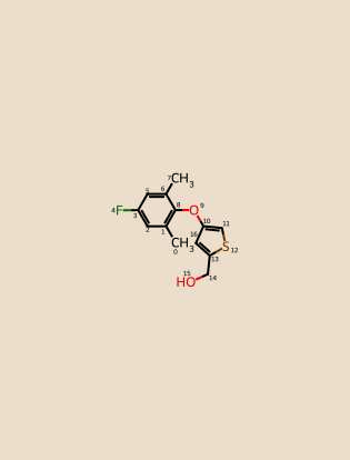 Cc1cc(F)cc(C)c1Oc1csc(CO)c1